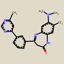 Cc1cc(-c2cccc(C3=Nc4cc(N(C)C)c(C(F)(F)F)cc4NC(=O)C3)c2)ncn1